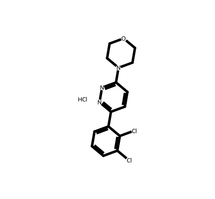 Cl.Clc1cccc(-c2ccc(N3CCOCC3)nn2)c1Cl